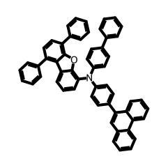 c1ccc(-c2ccc(N(c3ccc(-c4cc5ccccc5c5ccccc45)cc3)c3cccc4c3oc3c(-c5ccccc5)ccc(-c5ccccc5)c34)cc2)cc1